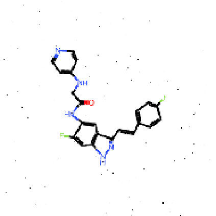 O=C(CNc1ccncc1)Nc1cc2c(/C=C/c3ccc(F)cc3)n[nH]c2cc1F